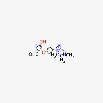 CN(C)Cc1ncc(-c2ccc(Oc3cc(O)ncc3C=O)cc2)n1C